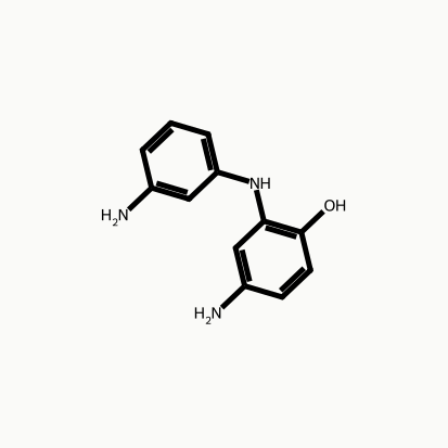 Nc1cccc(Nc2cc(N)ccc2O)c1